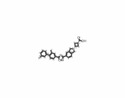 Cc1cc(-c2nc(-c3ccc4c(c3)CN([C@H]3C[C@H](C(=O)O)C3)C4)no2)ccc1-c1cccc(F)c1